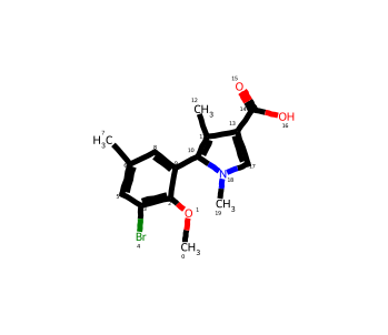 COc1c(Br)cc(C)cc1-c1c(C)c(C(=O)O)cn1C